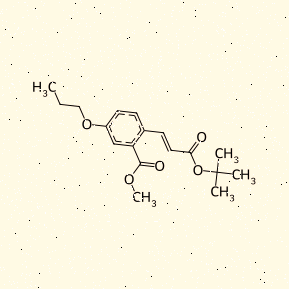 CCCOc1ccc(/C=C/C(=O)OC(C)(C)C)c(C(=O)OC)c1